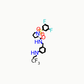 O=C(NCc1cccc(NCCC(F)(F)F)c1)[C@@H]1CCCN1S(=O)(=O)c1cc(F)cc(F)c1